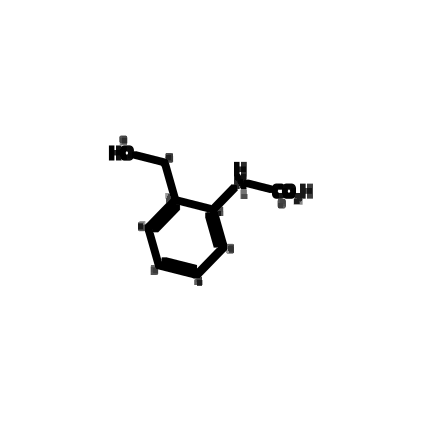 O=C(O)Nc1ccccc1CO